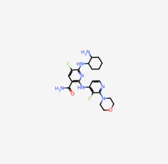 NC(=O)c1cc(F)c(NC2CCCCC2N)nc1Nc1ccnc(N2CCOCC2)c1F